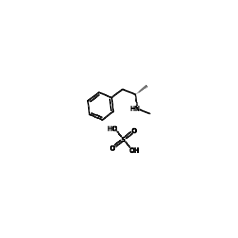 CN[C@@H](C)Cc1ccccc1.O=S(=O)(O)O